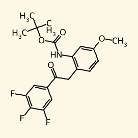 COc1ccc(CC(=O)c2cc(F)c(F)c(F)c2)c(NC(=O)OC(C)(C)C)c1